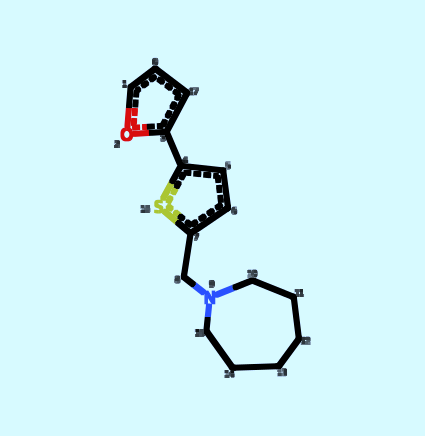 c1coc(-c2ccc(CN3CCCCCC3)s2)c1